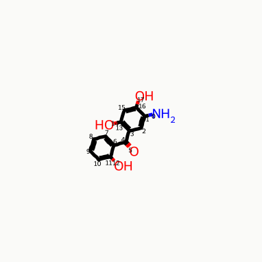 Nc1cc(C(=O)c2ccccc2O)c(O)cc1O